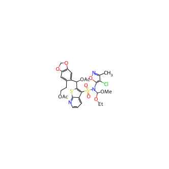 CCOC(OC)N(c1onc(C)c1Cl)S(=O)(=O)c1c(C(OC(C)=O)c2cc3c(cc2CCOC(C)=O)OCO3)sc2ncccc12